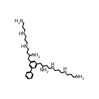 NCCCNCCCNCCC(N)Cc1cc(CC(N)CCNCCCNCCCN)cc(-c2ccccc2)c1